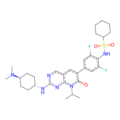 CC(C)n1c(=O)c(-c2cc(F)c(NS(=O)(=O)C3CCCCC3)c(F)c2)cc2cnc(N[C@H]3CC[C@H](N(C)C)CC3)nc21